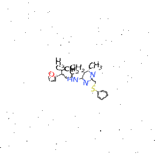 C=C=C(/C=C(\C(=C)C)c1ccco1)NC1=NC(CSc2ccccc2)=N[C@@H](C)C1